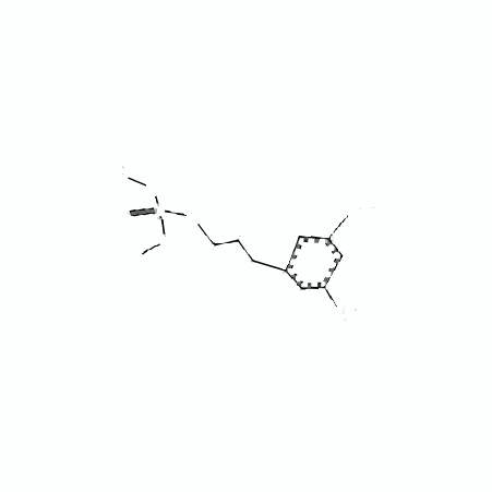 CCCCCc1cc(CCCCC)cc(CCCOP(=O)(OCC)OCC)c1